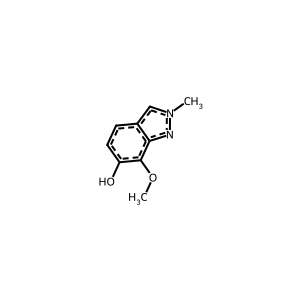 COc1c(O)ccc2cn(C)nc12